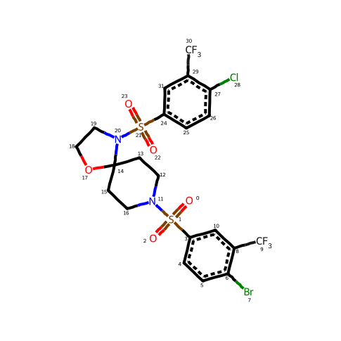 O=S(=O)(c1ccc(Br)c(C(F)(F)F)c1)N1CCC2(CC1)OCCN2S(=O)(=O)c1ccc(Cl)c(C(F)(F)F)c1